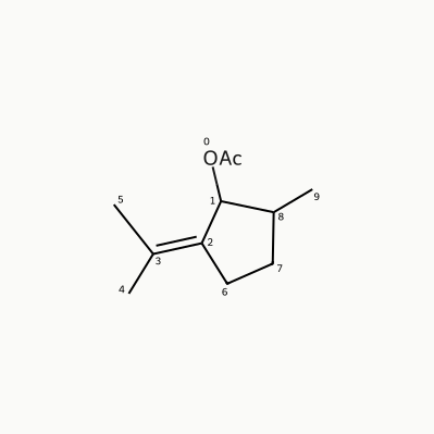 CC(=O)OC1C(=C(C)C)CCC1C